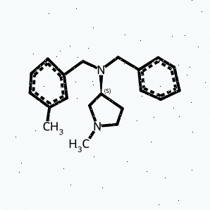 Cc1cccc(CN(Cc2ccccc2)[C@H]2CCN(C)C2)c1